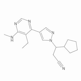 CCc1c(NC)ncnc1-c1cnn(C(CC#N)C2CCCC2)c1